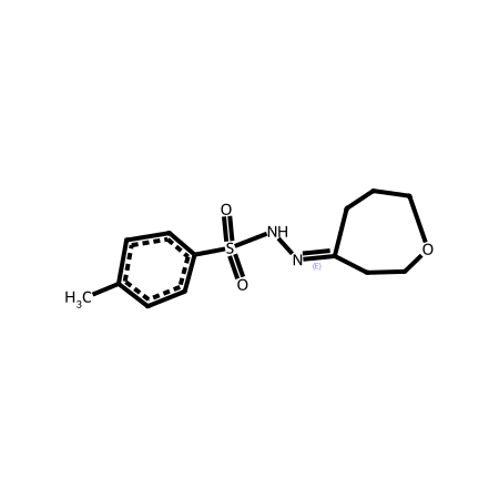 Cc1ccc(S(=O)(=O)N/N=C2\CCCOCC2)cc1